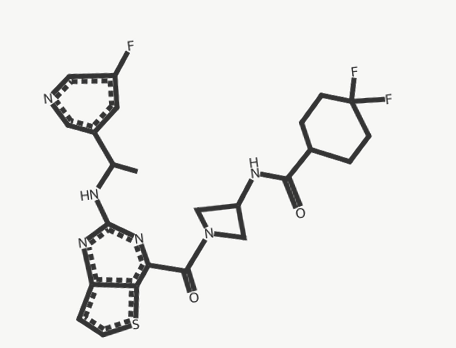 CC(Nc1nc(C(=O)N2CC(NC(=O)C3CCC(F)(F)CC3)C2)c2sccc2n1)c1cncc(F)c1